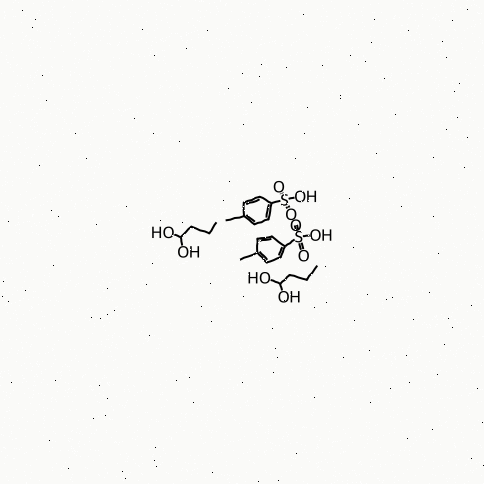 CCCC(O)O.CCCC(O)O.Cc1ccc(S(=O)(=O)O)cc1.Cc1ccc(S(=O)(=O)O)cc1